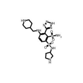 NS(=O)(=O)c1c(S(=O)(=O)NC2CCNC2)ccc(NCC2CCNCC2)c1-c1nn[nH]n1